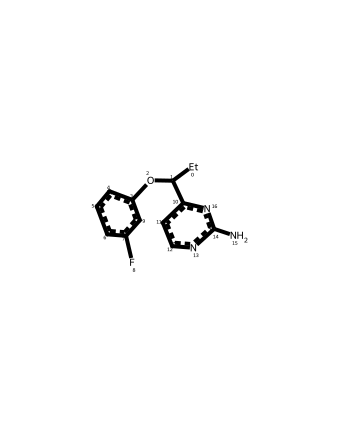 CCC(Oc1cccc(F)c1)c1ccnc(N)n1